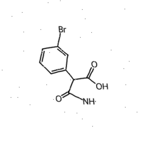 [NH]C(=O)C(C(=O)O)c1cccc(Br)c1